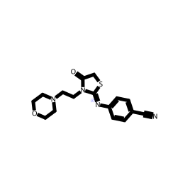 N#Cc1ccc(/N=C2\SCC(=O)N2CCN2CCOCC2)cc1